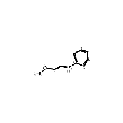 O=[C]OCCPc1ccccc1